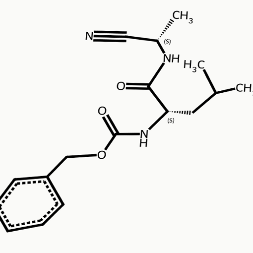 CC(C)C[C@H](NC(=O)OCc1ccccc1)C(=O)N[C@@H](C)C#N